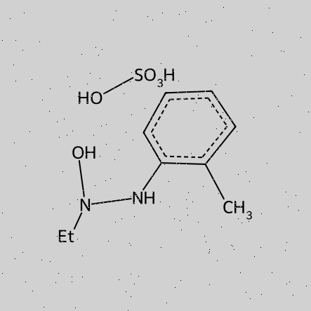 CCN(O)Nc1ccccc1C.O=S(=O)(O)O